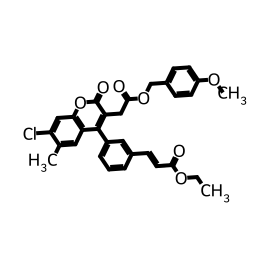 CCOC(=O)C=Cc1cccc(-c2c(CC(=O)OCc3ccc(OC)cc3)c(=O)oc3cc(Cl)c(C)cc23)c1